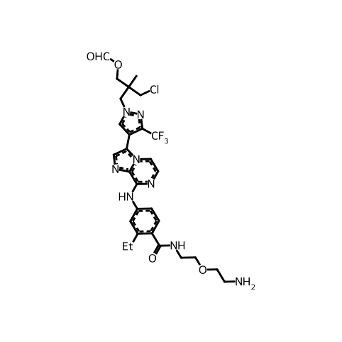 CCc1cc(Nc2nccn3c(-c4cn(CC(C)(CCl)COC=O)nc4C(F)(F)F)cnc23)ccc1C(=O)NCCOCCN